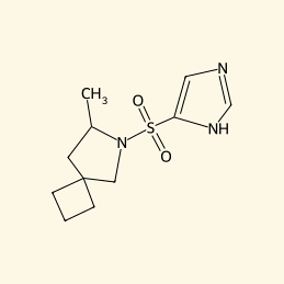 CC1CC2(CCC2)CN1S(=O)(=O)c1cnc[nH]1